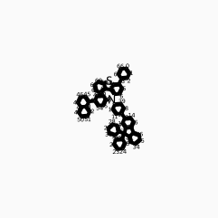 c1ccc(-c2ccc(N(c3ccc(-c4ccc5c(c4)C(c4ccccc4)(c4ccccc4)c4ccccc4-5)cc3)c3ccc(-c4cccc5ccccc45)cc3)c3c2sc2ccccc23)cc1